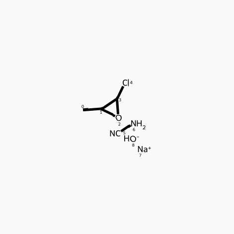 CC1OC1Cl.N#CN.[Na+].[OH-]